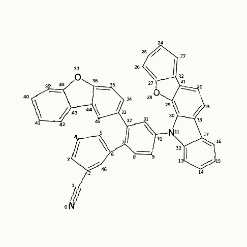 N#Cc1cccc(-c2ccc(-n3c4ccccc4c4ccc5c6ccccc6oc5c43)cc2-c2ccc3oc4ccccc4c3c2)c1